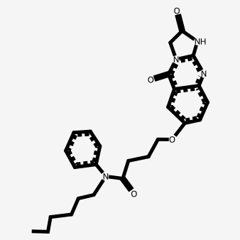 CCCCCCN(C(=O)CCCOc1ccc2nc3n(c(=O)c2c1)CC(=O)N3)c1ccccc1